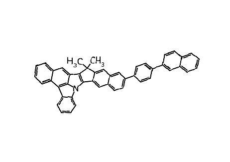 CC1(C)c2cc3cc(-c4ccc(-c5ccc6ccccc6c5)cc4)ccc3cc2-c2c1c1cc3ccccc3c3c4ccccc4n2c13